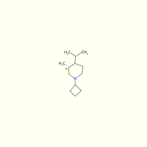 CC(C)C1CCN(C2CCC2)C[C@@H]1C